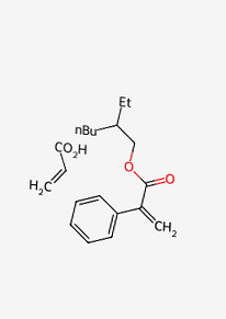 C=C(C(=O)OCC(CC)CCCC)c1ccccc1.C=CC(=O)O